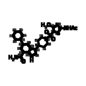 CC(=O)Nc1nc(C)c(S(=O)(=O)N2CCC(c3c[nH]c4c(C(N)=O)cc(-c5ccccc5)cc34)CC2)s1